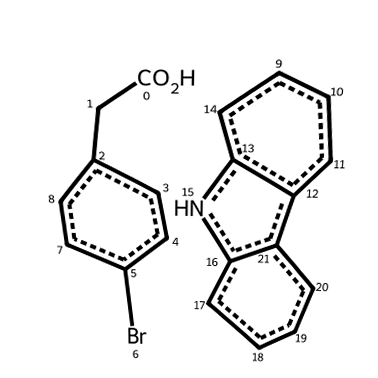 O=C(O)Cc1ccc(Br)cc1.c1ccc2c(c1)[nH]c1ccccc12